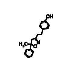 CC1(c2ccccc2)CC(CCc2ccc(O)cc2)=NO1